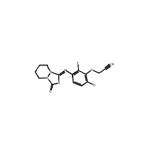 C#CCOc1c(Cl)ccc(N=c2sc(=O)n3n2CCCC3)c1F